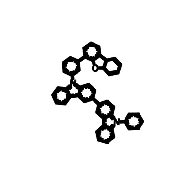 C1=CC2Oc3c(-c4cccc(-n5c6ccccc6c6cc(-c7ccc8c(c7)c7ccccc7n8-c7ccccc7)ccc65)c4)cccc3C2C=C1